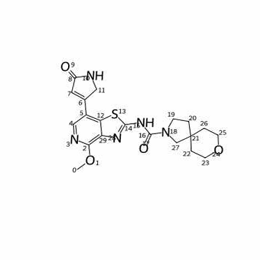 COc1ncc(C2=CC(=O)NC2)c2sc(NC(=O)N3CCC4(CCOCC4)C3)nc12